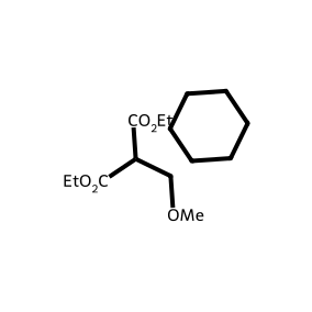 C1CCCCC1.CCOC(=O)C(COC)C(=O)OCC